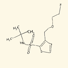 CC(C)(C)NS(=O)(=O)c1sccc1COCCF